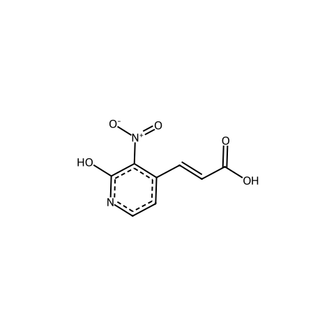 O=C(O)C=Cc1ccnc(O)c1[N+](=O)[O-]